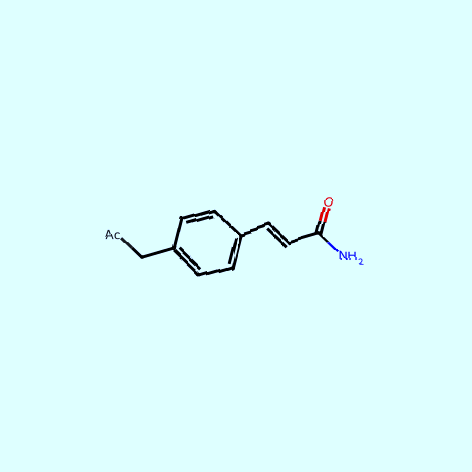 CC(=O)Cc1ccc(C=CC(N)=O)cc1